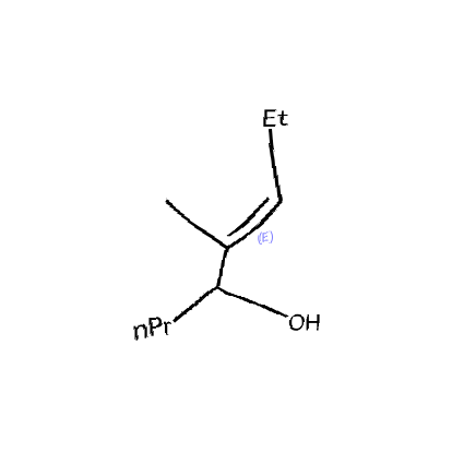 CC/C=C(\C)C(O)CCC